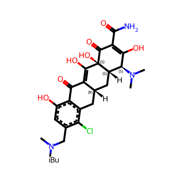 CCC(C)N(C)Cc1cc(O)c2c(c1Cl)C[C@H]1C[C@H]3[C@H](N(C)C)C(O)=C(C(N)=O)C(=O)[C@@]3(O)C(O)=C1C2=O